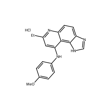 CCc1cc(Nc2ccc(OC)cc2)c2c(ccc3nc[nH]c32)n1.Cl